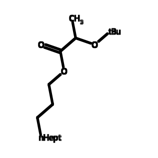 CCCCCCCCCCOC(=O)C(C)OC(C)(C)C